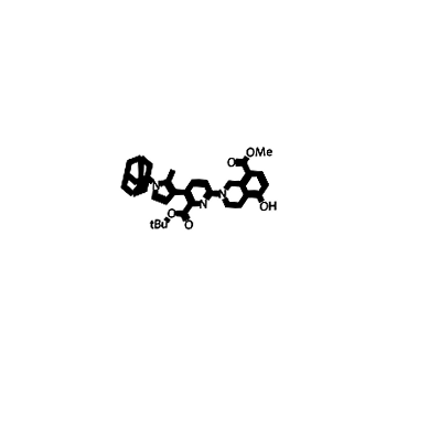 COC(=O)c1ccc(O)c2c1CN(c1ccc(-c3ccn(C45CC6CC(CC(C6)C4)C5)c3C)c(C(=O)OC(C)(C)C)n1)CC2